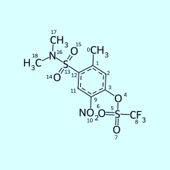 Cc1cc(OS(=O)(=O)C(F)(F)F)c([N+](=O)[O-])cc1S(=O)(=O)N(C)C